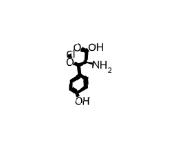 N[C@H](C(=O)O)C(OCl)c1ccc(O)cc1